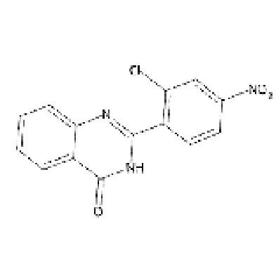 O=c1[nH]c(-c2ccc([N+](=O)[O-])cc2Cl)nc2ccccc12